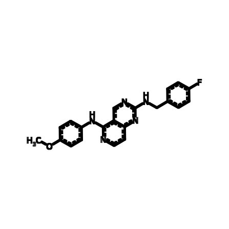 COc1ccc(Nc2nccc3nc(NCc4ccc(F)cc4)ncc23)cc1